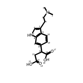 CN(C)CCc1c[nH]c2cc(C(CC(=O)O)C(=O)O)ccc12